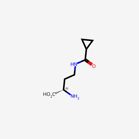 N[C@@H](CCNC(=O)C1CC1)C(=O)O